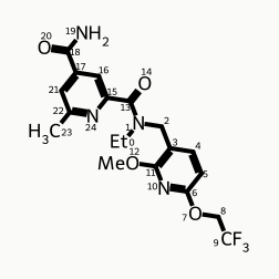 CCN(Cc1ccc(OCC(F)(F)F)nc1OC)C(=O)c1cc(C(N)=O)cc(C)n1